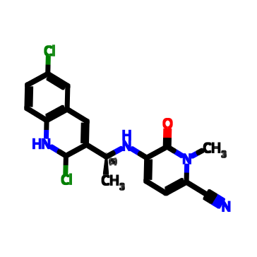 C[C@H](Nc1ccc(C#N)n(C)c1=O)C1=Cc2cc(Cl)ccc2NC1Cl